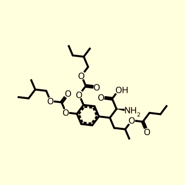 CCCC(=O)OC(C)CC(c1ccc(OC(=O)OCC(C)CC)c(OC(=O)OCC(C)CC)c1)[C@H](N)C(=O)O